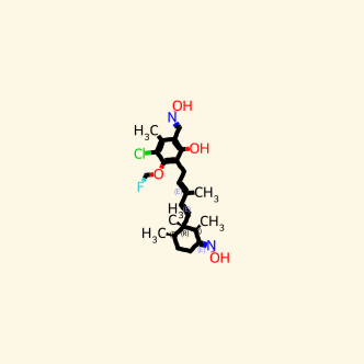 CC(/C=C/[C@@]1(C)[C@H](C)CC/C(=N\O)[C@@H]1C)=C\Cc1c(O)c(C=NO)c(C)c(Cl)c1OCF